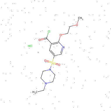 CCN1CCN(S(=O)(=O)c2cnc(OCCOC)c(C(=O)Cl)c2)CC1.Cl